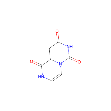 O=C1CC2C(=O)NC=CN2C(=O)N1